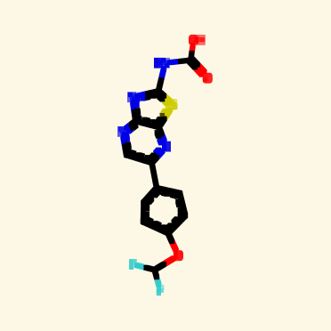 O=C(O)Nc1nc2ncc(-c3ccc(OC(F)F)cc3)nc2s1